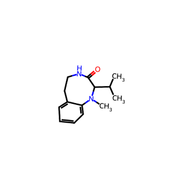 CC(C)C1C(=O)NCCc2ccccc2N1C